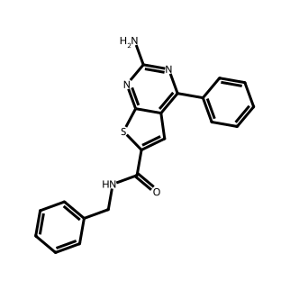 Nc1nc(-c2ccccc2)c2cc(C(=O)NCc3ccccc3)sc2n1